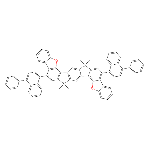 C[Si]1(C)c2cc3c(cc2-c2c1cc(-c1ccc(-c4ccccc4)c4ccccc14)c1c2oc2ccccc21)[Si](C)(C)c1cc(-c2ccc(-c4ccccc4)c4ccccc24)c2c(oc4ccccc42)c1-3